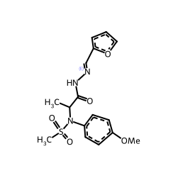 COc1ccc(N(C(C)C(=O)N/N=C/c2ccco2)S(C)(=O)=O)cc1